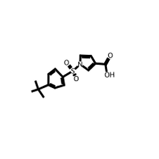 CC(C)(C)c1ccc(S(=O)(=O)n2ccc(C(=O)O)c2)cc1